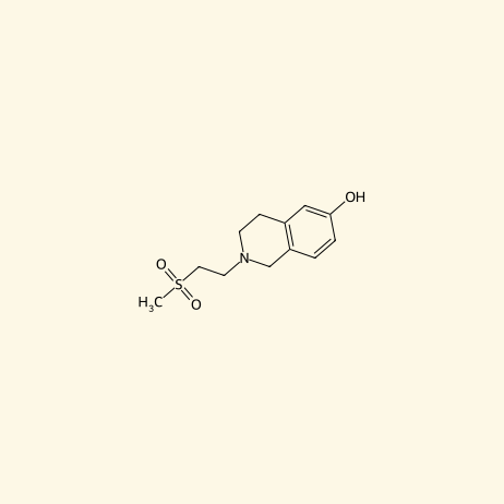 CS(=O)(=O)CCN1CCc2cc(O)ccc2C1